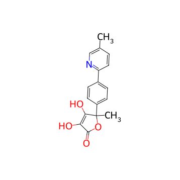 Cc1ccc(-c2ccc(C3(C)OC(=O)C(O)=C3O)cc2)nc1